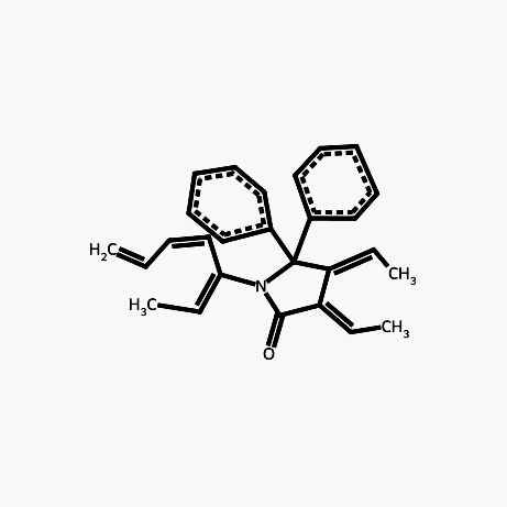 C=C/C=C\C(=C/C)N1C(=O)C(=C/C)/C(=C\C)C1(c1ccccc1)c1ccccc1